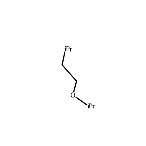 C[C](C)OCCC(C)C